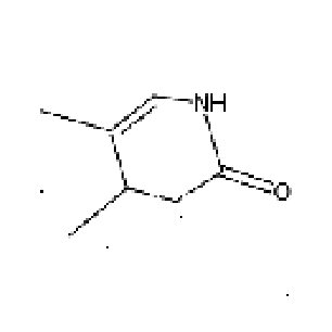 CC1=CNC(=O)CC1C